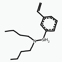 C=Cc1cccc([SiH2]N(CCCC)CCCC)c1